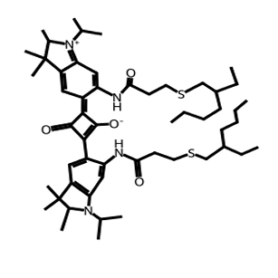 CCCCC(CC)CSCCC(=O)Nc1cc2c(cc1C1=C([O-])/C(=c3/cc4c(cc3NC(=O)CCSCC(CC)CCCC)=[N+](C(C)C)C(C)C4(C)C)C1=O)C(C)(C)C(C)N2C(C)C